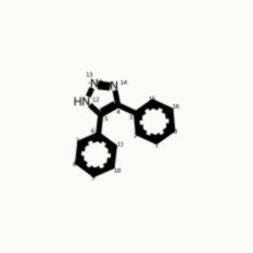 c1ccc(C2=C(c3ccccc3)N[N+]=N2)cc1